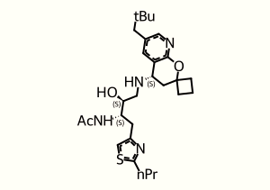 CCCc1nc(C[C@H](NC(C)=O)[C@@H](O)CN[C@H]2CC3(CCC3)Oc3ncc(CC(C)(C)C)cc32)cs1